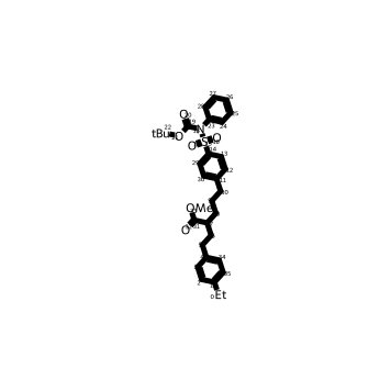 CCc1ccc(CCC(CCCc2ccc(S(=O)(=O)N(C(=O)OC(C)(C)C)c3ccccc3)cc2)C(=O)OC)cc1